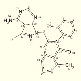 CCc1ccccc1-n1c(CN2N=C(I)C3C(N)=NC=NC32)cc2cccc(C)c2c1=O